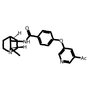 CC(=O)c1cncc(Oc2ccc(C(=O)N[C@@H]3C4CCN(CC4)[C@H]3C)cc2)c1